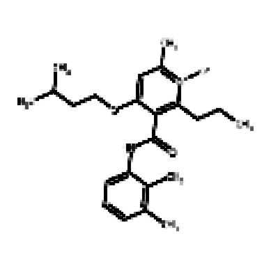 CCCc1c(C(=O)Nc2cccc(C)c2C)c(OCCC(C)C)cc(C)[n+]1[O-]